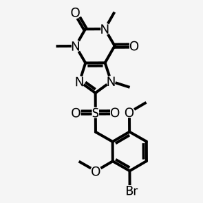 COc1ccc(Br)c(OC)c1CS(=O)(=O)c1nc2c(c(=O)n(C)c(=O)n2C)n1C